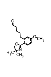 COc1ccc(C2=NC(C)(C)CO2)c(CCCCC=O)c1